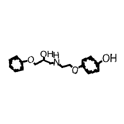 Oc1ccc(OCCNCC(O)COc2ccccc2)cc1